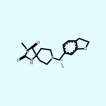 C[C@@H](c1ccc2c(c1)OCC2)N1CCC2(CC1)NC(=O)N(C)C2=O